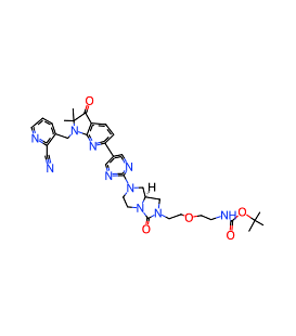 CC(C)(C)OC(=O)NCCOCCN1C[C@@H]2CN(c3ncc(-c4ccc5c(n4)N(Cc4cccnc4C#N)C(C)(C)C5=O)cn3)CCN2C1=O